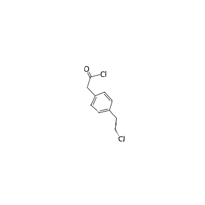 O=C(Cl)Cc1ccc(CCCl)cc1